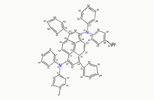 Cc1ccc(N(c2ccccc2)c2cc(-c3ccccc3)c3ccc4c(N(c5ccccc5)c5ccc(C(C)C)cc5)cc(-c5ccccc5)c5ccc2c3c54)cc1